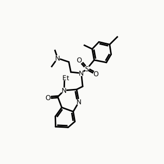 CCn1c(CN(CCN(C)C)S(=O)(=O)c2ccc(C)cc2C)nc2ccccc2c1=O